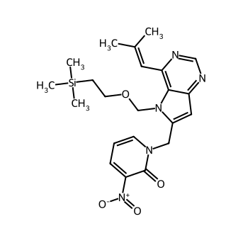 CC(C)=Cc1ncnc2cc(Cn3cccc([N+](=O)[O-])c3=O)n(COCC[Si](C)(C)C)c12